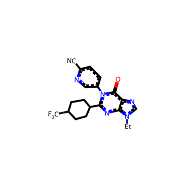 CCn1cnc2c(=O)n(-c3ccc(C#N)nc3)c(C3CCC(C(F)(F)F)CC3)nc21